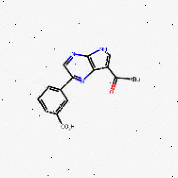 CC(C)(C)C(=O)c1c[nH]c2ncc(-c3cccc(C(=O)O)c3)nc12